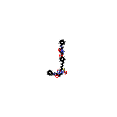 O=C1SC(CCCCc2ccc(OCc3coc(/C=C/c4ccccc4)n3)cc2)C(=O)N1Cc1coc(/C=C/c2ccccc2)n1